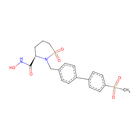 CS(=O)(=O)c1ccc(-c2ccc(CN3[C@@H](C(=O)NO)CCCS3(=O)=O)cc2)cc1